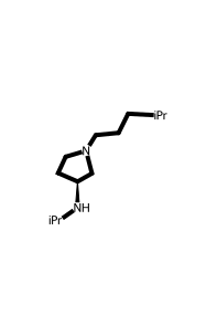 CC(C)CCCN1CC[C@H](NC(C)C)C1